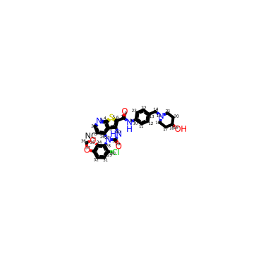 N#Cc1cnc2sc(C(=O)Nc3ccc(CN4CCC(O)CC4)cc3)c3c2c1N(c1c(Cl)ccc2c1OCO2)C(=O)N3